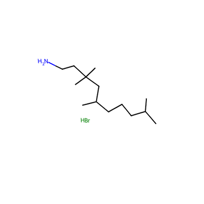 Br.CC(C)CCCC(C)CC(C)(C)CCN